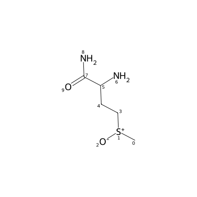 C[S+]([O-])CCC(N)C(N)=O